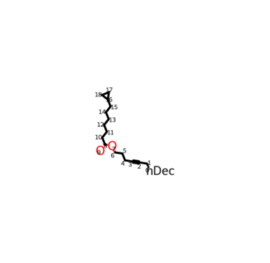 CCCCCCCCCCCC#CCCCOC(=O)CCCCCCC1CC1